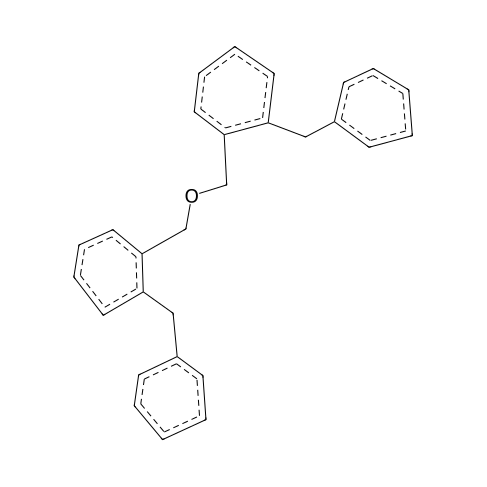 c1ccc(Cc2ccccc2COCc2ccccc2Cc2ccccc2)cc1